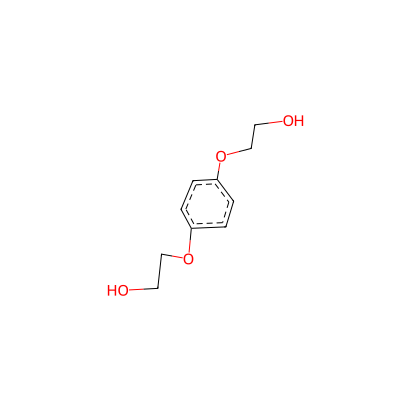 OCCOc1ccc(OCCO)cc1